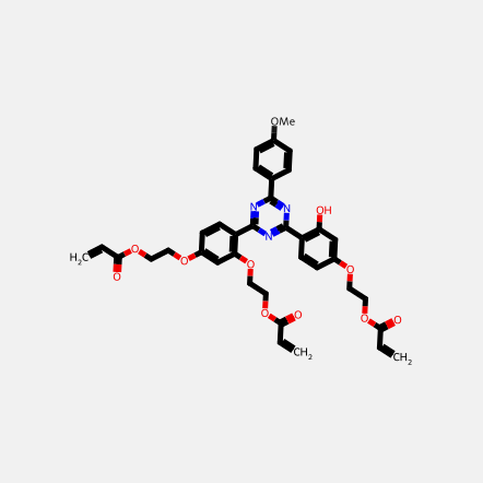 C=CC(=O)OCCOc1ccc(-c2nc(-c3ccc(OC)cc3)nc(-c3ccc(OCCOC(=O)C=C)cc3OCCOC(=O)C=C)n2)c(O)c1